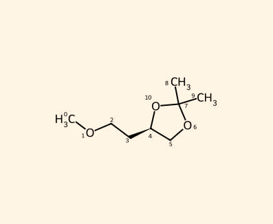 COCC[C@@H]1COC(C)(C)O1